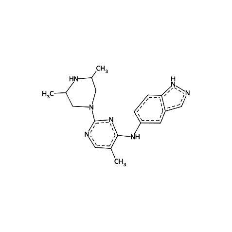 Cc1cnc(N2CC(C)NC(C)C2)nc1Nc1ccc2[nH]ncc2c1